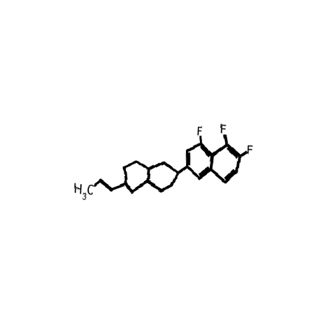 CCCC1CCC2CC(c3cc(F)c4c(F)c(F)ccc4c3)CCC2C1